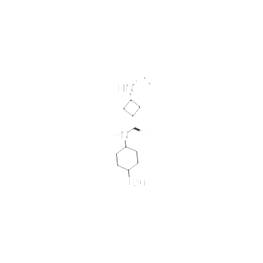 CC(C)(C)C1CCC(NC(=O)[C@H]2C[C@H](NC#N)C2)CC1